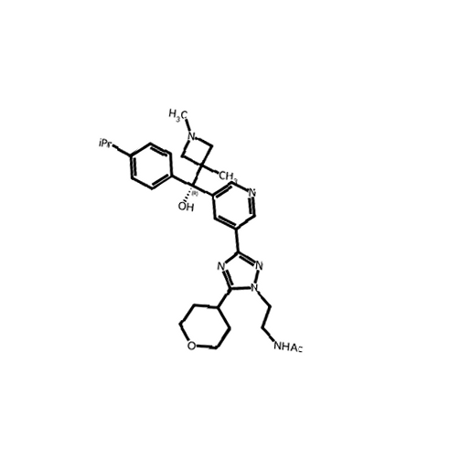 CC(=O)NCCn1nc(-c2cncc([C@@](O)(c3ccc(C(C)C)cc3)C3(C)CN(C)C3)c2)nc1C1CCOCC1